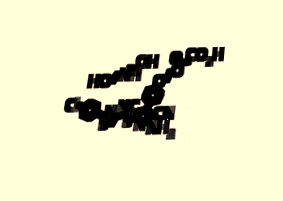 N#Cc1c(N)nc(SCc2csc(-c3ccc(Cl)cc3)n2)c(C#N)c1-c1ccc(OCCOC(=O)CC(=O)O)cc1.OCCNCCO